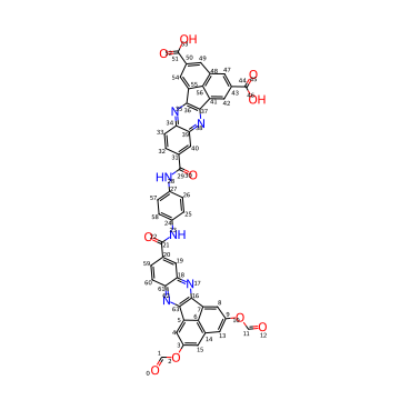 O=COc1cc2c3c(cc(OC=O)cc3c1)-c1nc3cc(C(=O)Nc4ccc(NC(=O)c5ccc6nc7c(nc6c5)-c5cc(C(=O)O)cc6cc(C(=O)O)cc-7c56)cc4)ccc3nc1-2